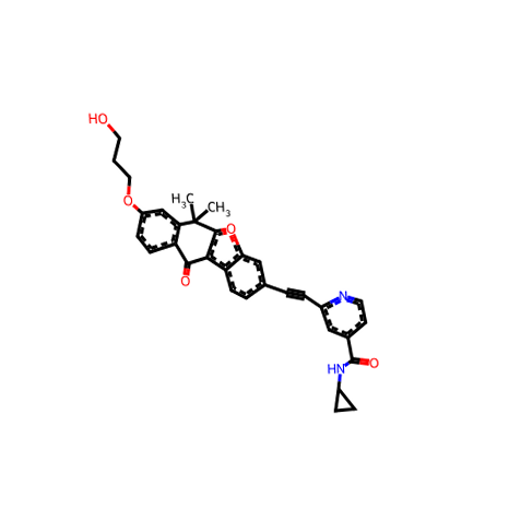 CC1(C)c2cc(OCCCO)ccc2C(=O)c2c1oc1cc(C#Cc3cc(C(=O)NC4CC4)ccn3)ccc21